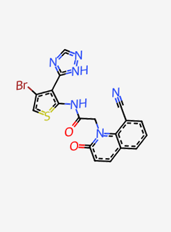 N#Cc1cccc2ccc(=O)n(CC(=O)Nc3scc(Br)c3-c3ncn[nH]3)c12